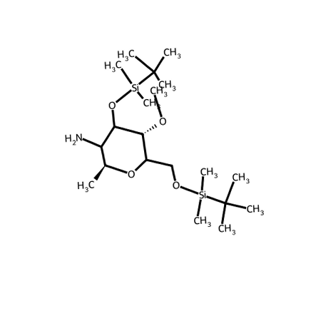 CO[C@@H]1C(CO[Si](C)(C)C(C)(C)C)O[C@@H](C)C(N)C1O[Si](C)(C)C(C)(C)C